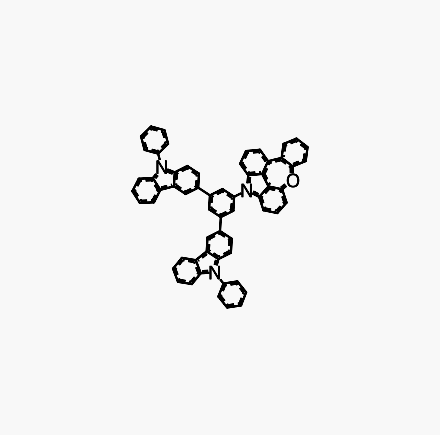 c1ccc(-n2c3ccccc3c3cc(-c4cc(-c5ccc6c(c5)c5ccccc5n6-c5ccccc5)cc(-n5c6cccc7oc8ccccc8c8cccc5c8c76)c4)ccc32)cc1